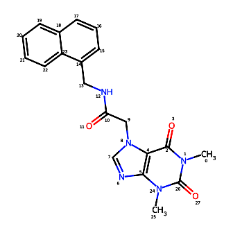 Cn1c(=O)c2c(ncn2CC(=O)NCc2cccc3ccccc23)n(C)c1=O